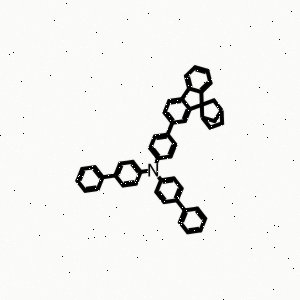 c1ccc(-c2ccc(N(c3ccc(-c4ccccc4)cc3)c3ccc(-c4ccc5c(c4)C4(CC6CCC4C6)c4ccccc4-5)cc3)cc2)cc1